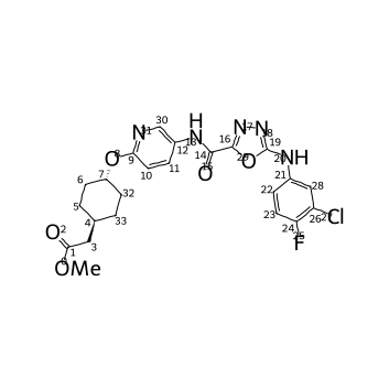 COC(=O)C[C@H]1CC[C@H](Oc2ccc(NC(=O)c3nnc(Nc4ccc(F)c(Cl)c4)o3)cn2)CC1